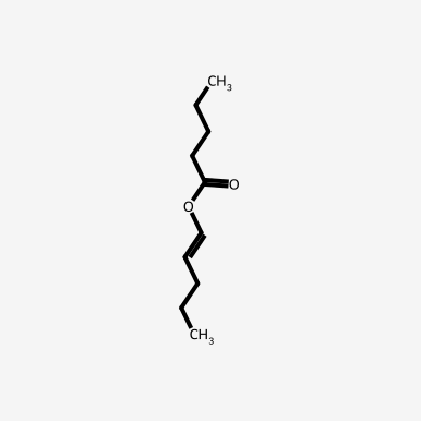 CCCC=COC(=O)CCCC